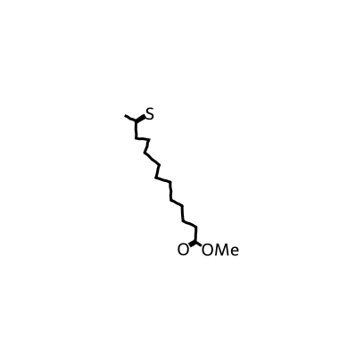 COC(=O)CCCCCCCCCCC(C)=S